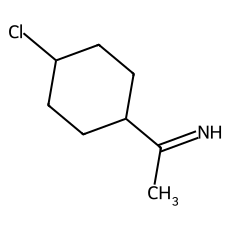 CC(=N)C1CCC(Cl)CC1